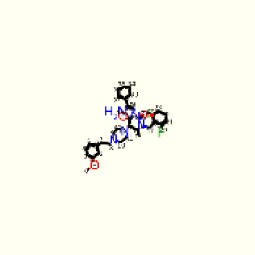 COc1cccc(CCN2CCN(c3c(C)n(Cc4c(F)cccc4F)c(=O)n(CC(N)c4ccccc4)c3=O)CC2)c1